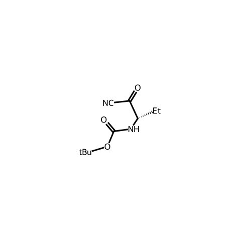 CC[C@H](NC(=O)OC(C)(C)C)C(=O)C#N